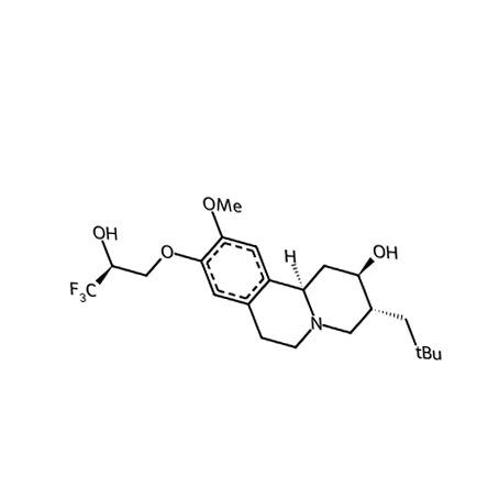 COc1cc2c(cc1OC[C@H](O)C(F)(F)F)CCN1C[C@@H](CC(C)(C)C)[C@H](O)C[C@H]21